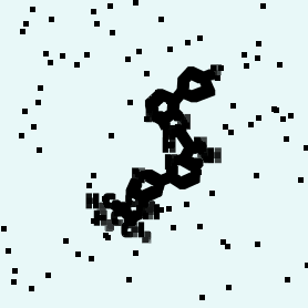 C=C(Nc1cncc(-c2ccc3[nH]nc(-c4nc5c(-c6ccc(F)cc6)ccnc5[nH]4)c3n2)c1)C(C)(C)C